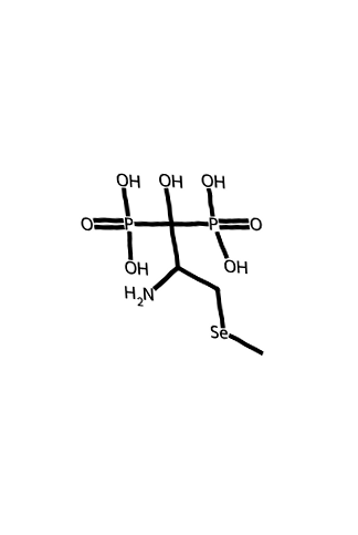 C[Se]CC(N)C(O)(P(=O)(O)O)P(=O)(O)O